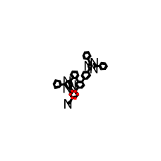 N#Cc1ccc(-c2ccc(-c3ccc(-c4nc(-c5ccccc5)nc(-c5ccccc5)n4)cc3)c(-c3ccccc3-c3nc(-c4ccccc4)nc(-c4ccccc4)n3)c2)cc1